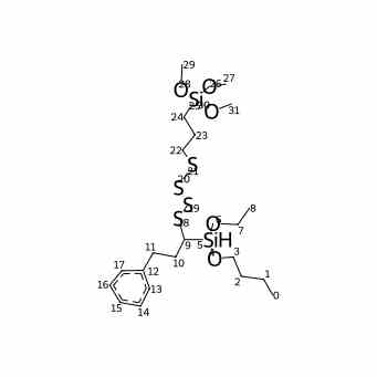 CCCCO[SiH](OCC)C(CCc1ccccc1)SSSSCCC[Si](OC)(OC)OC